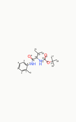 Cc1ccccc1NC(=O)C(NC(=O)OC(C)(C)C)C(C)C